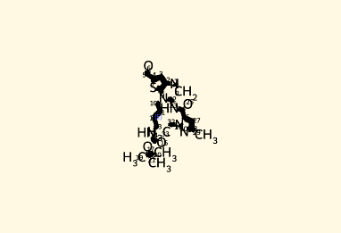 C=Nc1cc(C=O)sc1N(C/C=C/CNC(=O)OC(C)(C)C)CNC(=O)c1cc(C)nn1CC